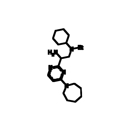 CCN(CC(N)c1nccc(N2CCCCCC2)n1)C1CCCCC1